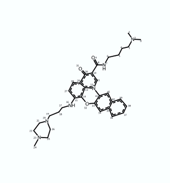 CN(C)CCCCNC(=O)c1cn2c3c(c(NCCCN4CCN(C)CC4)ccc3c1=O)Oc1cc3ccccc3cc1-2